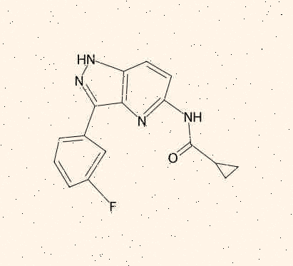 O=C(Nc1ccc2[nH]nc(-c3cccc(F)c3)c2n1)C1CC1